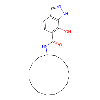 O=C(NC1CCCCCCCCCCCCCC1)c1ccc2cn[nH]c2c1O